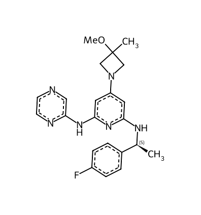 COC1(C)CN(c2cc(Nc3cnccn3)nc(N[C@@H](C)c3ccc(F)cc3)c2)C1